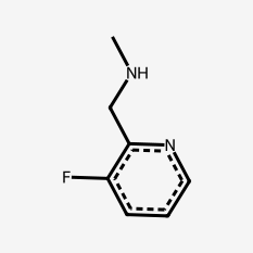 CNCc1ncccc1F